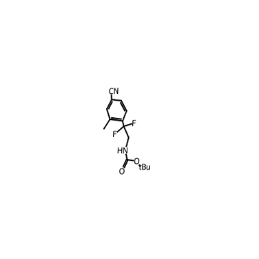 Cc1cc(C#N)ccc1C(F)(F)CNC(=O)OC(C)(C)C